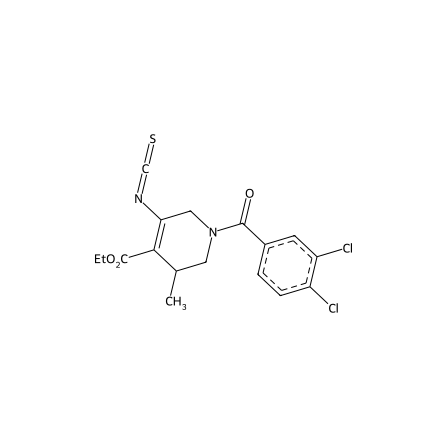 CCOC(=O)C1=C(N=C=S)CN(C(=O)c2ccc(Cl)c(Cl)c2)CC1C